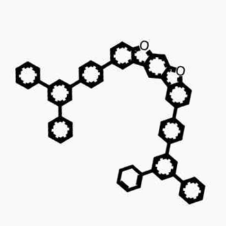 C1=CCCC(c2cc(-c3ccccc3)cc(-c3ccc(-c4ccc5oc6cc7oc8ccc(-c9ccc(-c%10cc(-c%11ccccc%11)cc(-c%11ccccc%11)c%10)cc9)cc8c7cc6c5c4)cc3)c2)=C1